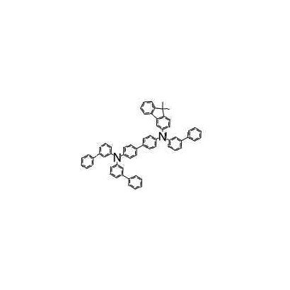 CC1(C)c2ccccc2-c2cc(N(c3ccc(-c4ccc(N(c5cccc(-c6ccccc6)c5)c5cccc(-c6ccccc6)c5)cc4)cc3)c3cccc(-c4ccccc4)c3)ccc21